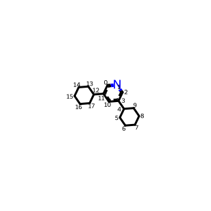 c1ncc(C2CCCCC2)cc1C1CCCCC1